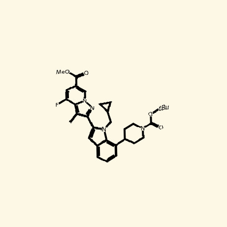 COC(=O)c1cc(F)c2c(C)c(-c3cc4cccc(C5CCN(C(=O)OC(C)(C)C)CC5)c4n3CC3CC3)nn2c1